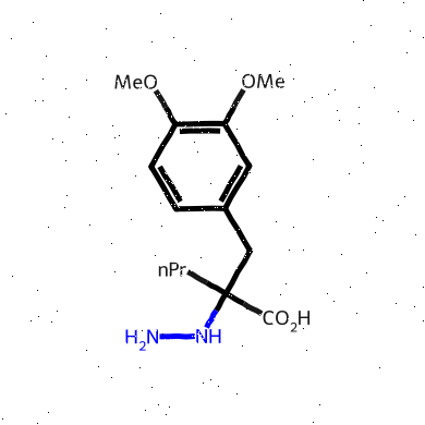 CCCC(Cc1ccc(OC)c(OC)c1)(NN)C(=O)O